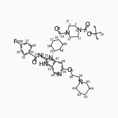 C[C@@H]1CN(C(=O)OC(C)(C)C)CCN1C(=O)[C@H]1CC[C@@H](n2/c(=N/C(=O)c3ccc(F)cc3)[nH]c3cnc(OCCN4CCCCC4)cc32)CC1